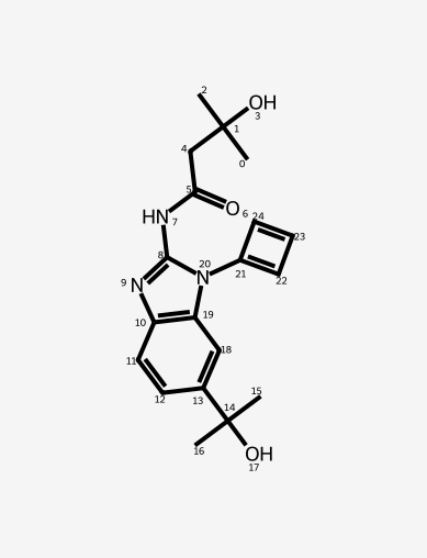 CC(C)(O)CC(=O)Nc1nc2ccc(C(C)(C)O)cc2n1C1=CC=C1